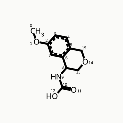 COc1ccc2c(c1)C(NC(=O)O)COC2